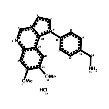 COc1cc2ncc3ccn(-c4ccc(CN)cc4)c3c2cc1OC.Cl